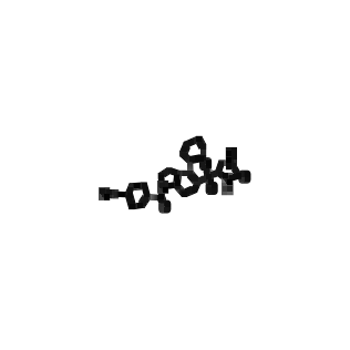 N#Cc1ccc(C(=O)N2CCc3c2ccc(S(=O)(=O)C2CNC(=O)N2)c3-c2ccccc2)cc1